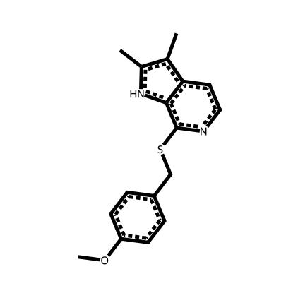 COc1ccc(CSc2nccc3c(C)c(C)[nH]c23)cc1